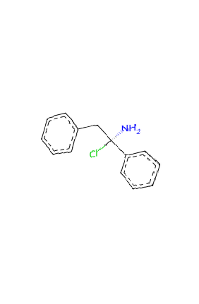 N[C@](Cl)(Cc1ccccc1)c1ccccc1